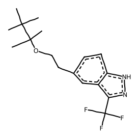 CC(C)(C)C(C)(C)OCCc1ccc2[nH]nc(C(F)(F)F)c2c1